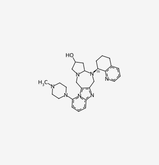 CN1CCN(c2cccc3nc4c(n23)CN2CC(O)CC2N([C@H]2CCCc3cccnc32)C4)CC1